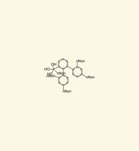 CCCCCCCCCc1ccc(-c2cccc(P(O)(O)(O)CCCCCCCCC)c2-c2ccc(CCCCCCCCC)cc2CCCCCCCCC)c(CCCCCCCCC)c1